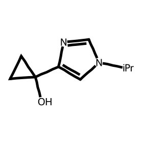 CC(C)n1cnc(C2(O)CC2)c1